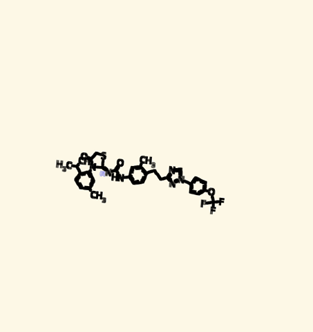 Cc1ccc(C(C)C)c(N2C(=O)CS/C2=N\C(=O)Nc2ccc(CCc3ncn(-c4ccc(OC(F)(F)F)cc4)n3)c(C)c2)c1